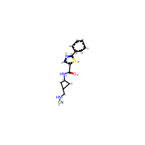 N#CNCC1CC(NC(=O)c2cnc(-c3ccccc3)s2)C1